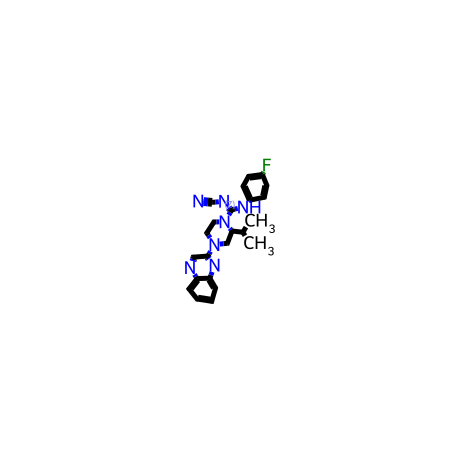 CC(C)C1CN(c2cnc3ccccc3n2)CCN1/C(=N\C#N)Nc1ccc(F)cc1